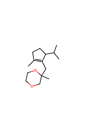 CC1=C(CC2(C)COCCO2)C(C(C)C)CC1